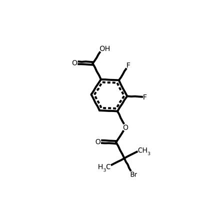 CC(C)(Br)C(=O)Oc1ccc(C(=O)O)c(F)c1F